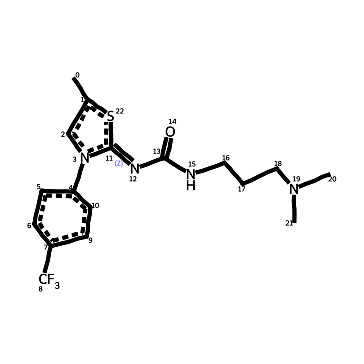 Cc1cn(-c2ccc(C(F)(F)F)cc2)/c(=N/C(=O)NCCCN(C)C)s1